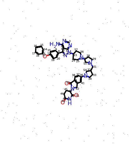 Nc1ncnc2c1c(-c1ccc(Oc3ccccc3)cc1)nn2C1CCN(C2CCN(CC3CCN(c4ccc5c(c4)CN(C4CCC(=O)NC4=O)C5=O)C3)C2)CC1